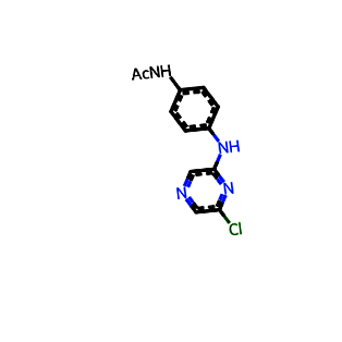 CC(=O)Nc1ccc(Nc2cncc(Cl)n2)cc1